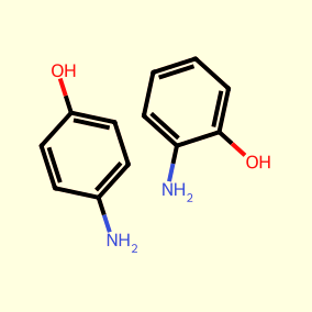 Nc1ccc(O)cc1.Nc1ccccc1O